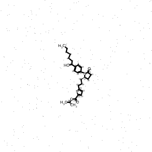 CCCCCCC(O)c1ccc(N2C(=O)CC[C@H]2CCCc2ccc(C(=O)OC(C)C)s2)cc1